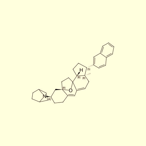 C[C@]12CC=C3C=C4CC[C@@H](N5C6CCC5CC6)C[C@]45CCC3(O5)[C@@H]1CC[C@@H]2c1ccc2ccccc2c1